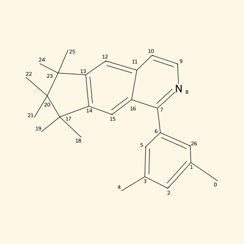 Cc1cc(C)cc(-c2nccc3cc4c(cc23)C(C)(C)C(C)(C)C4(C)C)c1